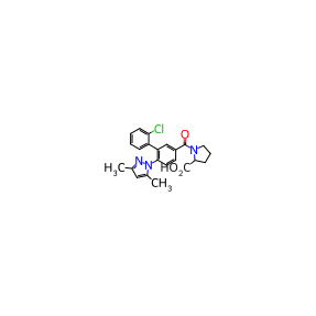 Cc1cc(C)n(-c2ccc(C(=O)N3CCCC3C(=O)O)cc2-c2ccccc2Cl)n1